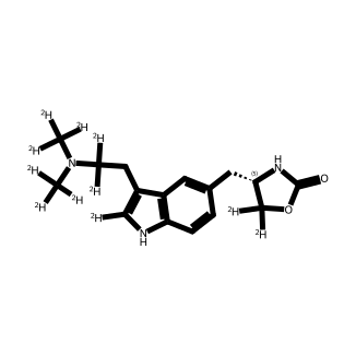 [2H]c1[nH]c2ccc(C[C@@H]3NC(=O)OC3([2H])[2H])cc2c1CC([2H])([2H])N(C([2H])([2H])[2H])C([2H])([2H])[2H]